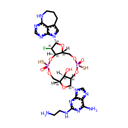 NCCNc1nc(N)c2ncn([C@@H]3O[C@@H]4COP(=O)(S)O[C@H]5[C@@H](F)[C@H](n6cc7c8c(ncnc86)NCCC7)O[C@@H]5COP(=O)(S)O[C@@H]3[C@@H]4O)c2n1